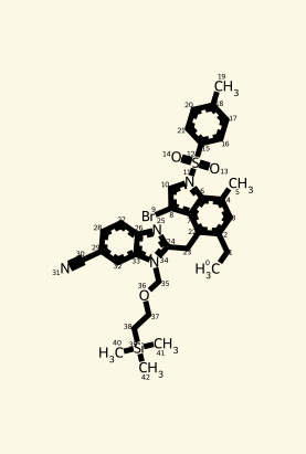 CCc1cc(C)c2c(c(Br)cn2S(=O)(=O)c2ccc(C)cc2)c1Cc1nc2ccc(C#N)cc2n1COCC[Si](C)(C)C